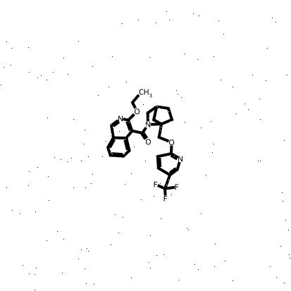 CCOc1ncc2ccccc2c1C(=O)N1CC2CCC1(COc1ccc(C(F)(F)F)cn1)C2